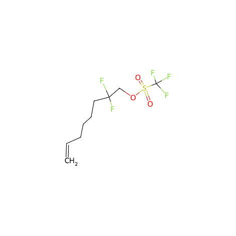 C=CCCCCC(F)(F)COS(=O)(=O)C(F)(F)F